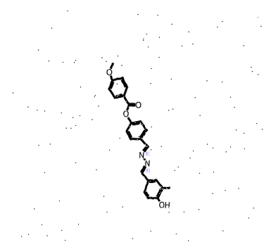 COc1ccc(C(=O)Oc2ccc(/C=N/N=C/c3ccc(O)c(C)c3)cc2)cc1